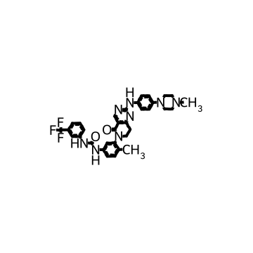 Cc1ccc(NC(=O)Nc2cccc(C(F)(F)F)c2)cc1N1CCc2nc(Nc3ccc(N4CCN(C)CC4)cc3)ncc2C1=O